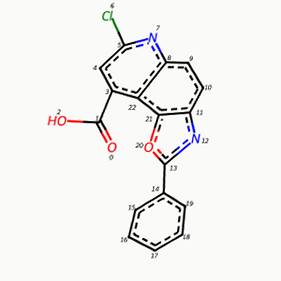 O=C(O)c1cc(Cl)nc2ccc3nc(-c4ccccc4)oc3c12